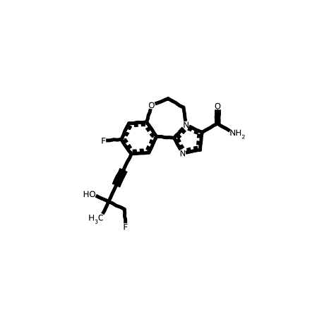 CC(O)(C#Cc1cc2c(cc1F)OCCn1c(C(N)=O)cnc1-2)CF